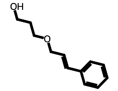 OCCCOCC=Cc1ccccc1